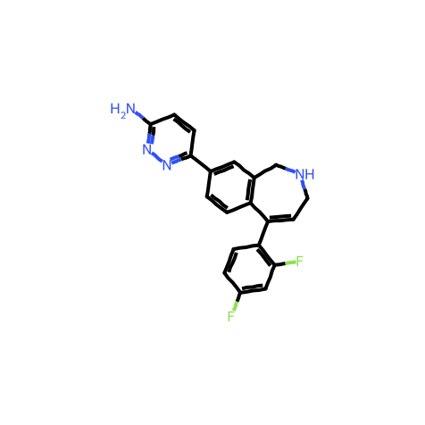 Nc1ccc(-c2ccc3c(c2)CNCC=C3c2ccc(F)cc2F)nn1